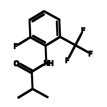 CC(C)C(=O)Nc1c(F)cccc1C(F)(F)F